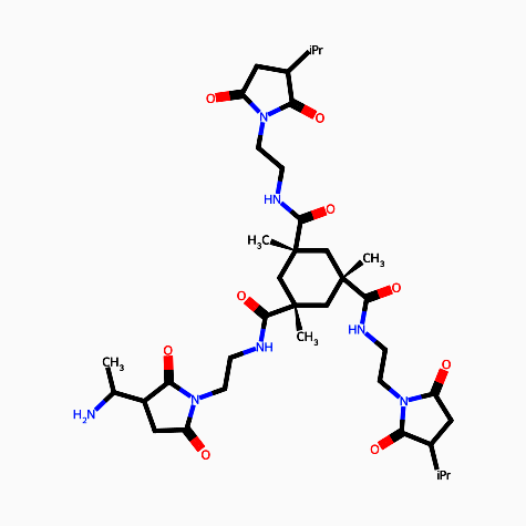 CC(C)C1CC(=O)N(CCNC(=O)[C@@]2(C)C[C@@](C)(C(=O)NCCN3C(=O)CC(C(C)C)C3=O)C[C@@](C)(C(=O)NCCN3C(=O)CC(C(C)N)C3=O)C2)C1=O